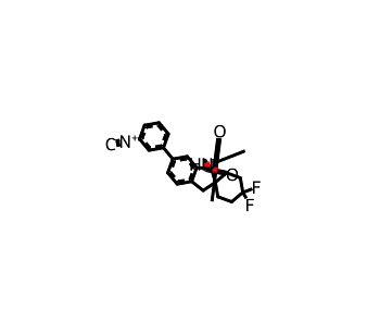 [C-]#[N+]c1cccc(-c2ccc3c(c2)C2(NC(=O)N(C)C2=O)C2(CCC(F)(F)CC2)C3)c1